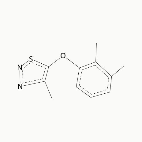 Cc1cccc(Oc2snnc2C)c1C